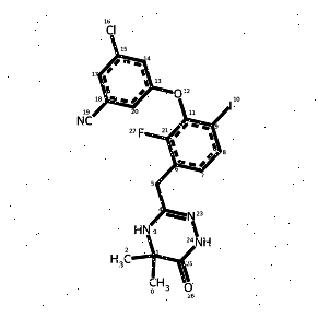 CC1(C)NC(Cc2ccc(I)c(Oc3cc(Cl)cc(C#N)c3)c2F)=NNC1=O